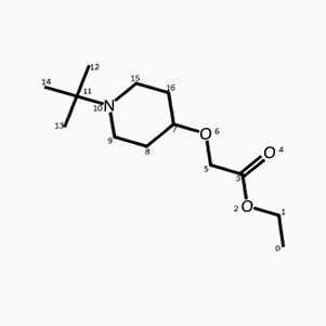 CCOC(=O)COC1CCN(C(C)(C)C)CC1